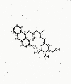 CN(CC[C@@H]1CC(O)[C@H](O)C(CO)O1)CC(O)CN1c2ccccc2Sc2ccc(C(F)(F)F)cc21